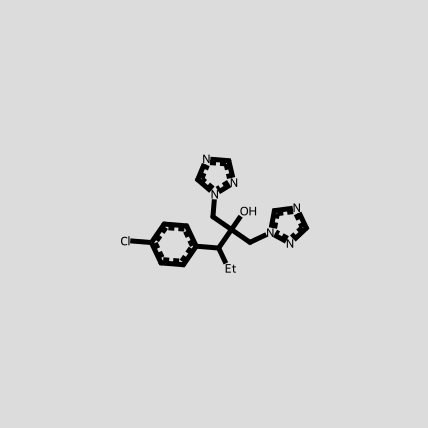 CCC(c1ccc(Cl)cc1)C(O)(Cn1cncn1)Cn1cncn1